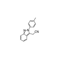 Cc1ccc(-n2nc3ccccc3c2CC#N)cc1